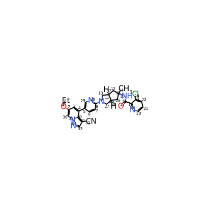 CCOc1cc(-c2ccc(N3C[C@@H]4CC(C)(NC(=O)c5ncccc5Cl)C[C@@H]4C3)nc2)c2c(C#N)cnn2c1